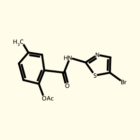 CC(=O)Oc1ccc(C)cc1C(=O)Nc1ncc(Br)s1